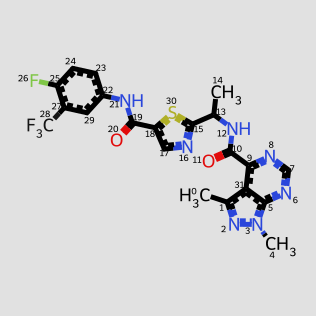 Cc1nn(C)c2ncnc(C(=O)NC(C)c3ncc(C(=O)Nc4ccc(F)c(C(F)(F)F)c4)s3)c12